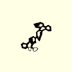 O=c1oc2ccccc2c2ccc(-c3ccc4c5ccccc5c5ccccc5c4c3)cc12